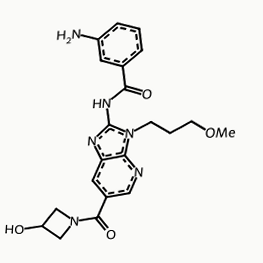 COCCCn1c(NC(=O)c2cccc(N)c2)nc2cc(C(=O)N3CC(O)C3)cnc21